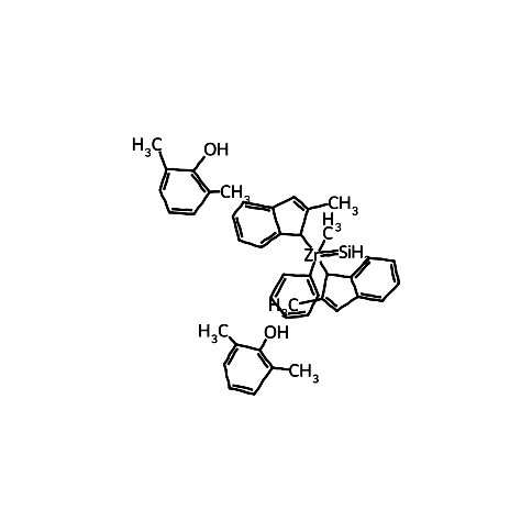 CC1=Cc2ccccc2[CH]1[Zr]([CH3])(=[SiH2])([c]1ccccc1)[CH]1C(C)=Cc2ccccc21.Cc1cccc(C)c1O.Cc1cccc(C)c1O